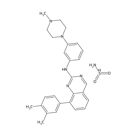 Cc1ccc(-c2cccc3cnc(Nc4cccc(N5CCN(C)CC5)c4)nc23)cc1C.N[SH](=O)=O